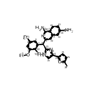 CCOc1cc(CC)cc(C(c2cc3cc(N)ccc3c(N)n2)c2nc(-c3ccc(C)o3)c[nH]2)c1F